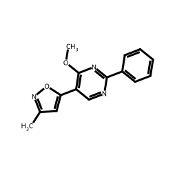 COc1nc(-c2ccccc2)ncc1-c1cc(C)no1